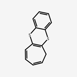 C1=CCC2=C(C=C1)Sc1ccccc1S2